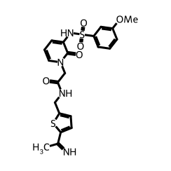 COc1cccc(S(=O)(=O)Nc2cccn(CC(=O)NCc3ccc(C(C)=N)s3)c2=O)c1